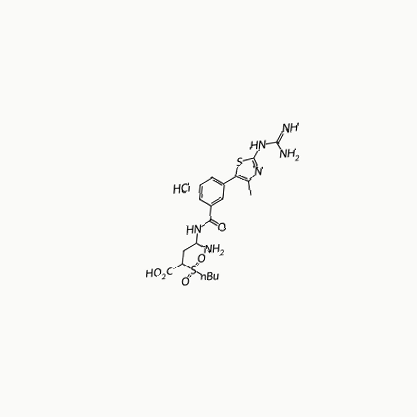 CCCCS(=O)(=O)C(CC(N)NC(=O)c1cccc(-c2sc(NC(=N)N)nc2C)c1)C(=O)O.Cl